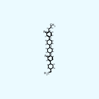 C=CC1CCC(c2ccc(C3CCC(C4CCC(c5ccc(CCC)c(F)c5)CC4)CC3)c(F)c2)CC1